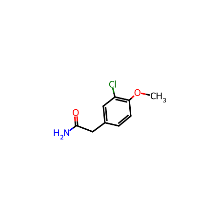 COc1ccc(CC(N)=O)cc1Cl